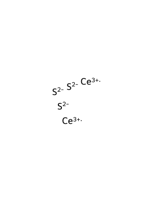 [Ce+3].[Ce+3].[S-2].[S-2].[S-2]